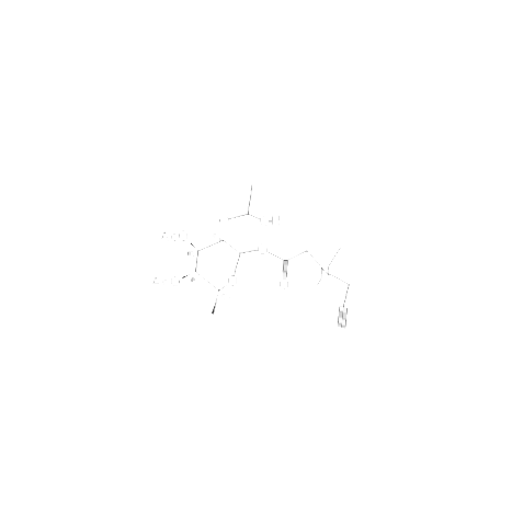 C#CC[N+](C)(C)CC(=O)OC1O[C@@H](C)[C@@H](OC(C)=O)[C@@H](OC(C)=O)[C@@H]1OC(C)O